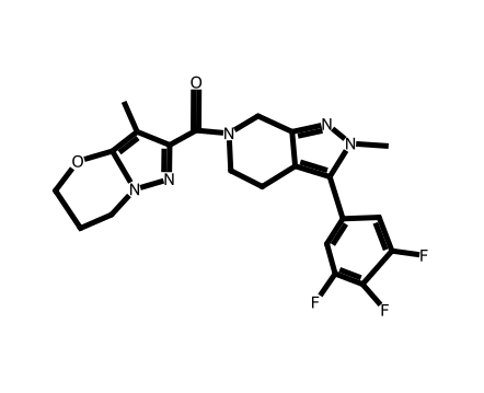 Cc1c(C(=O)N2CCc3c(nn(C)c3-c3cc(F)c(F)c(F)c3)C2)nn2c1OCCC2